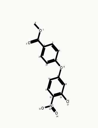 COC(=O)c1ccc(Oc2ccc([N+](=O)[O-])c(Cl)c2)cc1